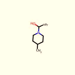 CCCC(O)N1CCC(C)CC1